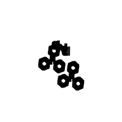 C1CCC(P(C2CCCCC2)C2CCCCC2)CC1.C1CCC(P(C2CCCCC2)C2CCCCC2)CC1.[Cl][Pd][Cl]